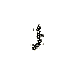 Cc1ccc2c(Cc3[nH]c4ccc(-c5ccc6[nH]cc(Cc7[nH]c8ccccc8c7C=O)c6c5)cc4c3C=O)c[nH]c2c1